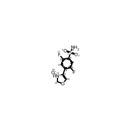 NS(=O)(=O)c1cc(F)c(C2=COC[NH+]2[O-])cc1F